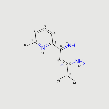 Cc1cccc(C(=N)/C=C(\N)C(C)C)n1